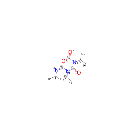 CC(C)/N=c1/oc(=O)n(C(C)C)c(=O)n1C(C)C